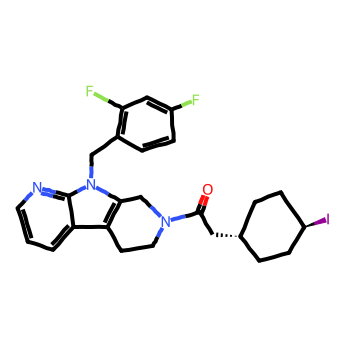 O=C(C[C@H]1CC[C@H](I)CC1)N1CCc2c(n(Cc3ccc(F)cc3F)c3ncccc23)C1